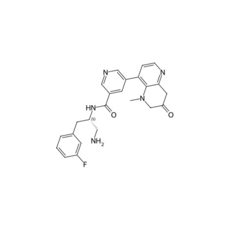 CN1CC(=O)Cc2nccc(-c3cncc(C(=O)N[C@H](CN)Cc4cccc(F)c4)c3)c21